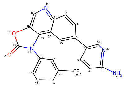 Nc1ccc(-c2ccc3ncc4oc(=O)n(-c5cccc(C(F)(F)F)c5)c4c3c2)cn1